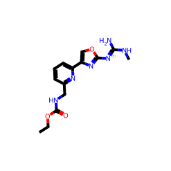 CCOC(=O)NCc1cccc(-c2coc(/N=C(\N)NC)n2)n1